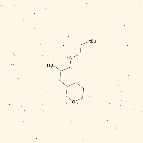 CC(CNCCC(C)(C)C)CC1CCCOC1